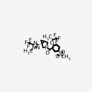 C[C@@H](Oc1ccc(S(C)(=O)=O)cc1C(=O)N1CC2C[C@]2(c2nc(C(F)(F)F)n(C)n2)C1)C(F)(F)F